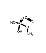 O=P(O)(O)[O][AlH2].[O]=[Cr]